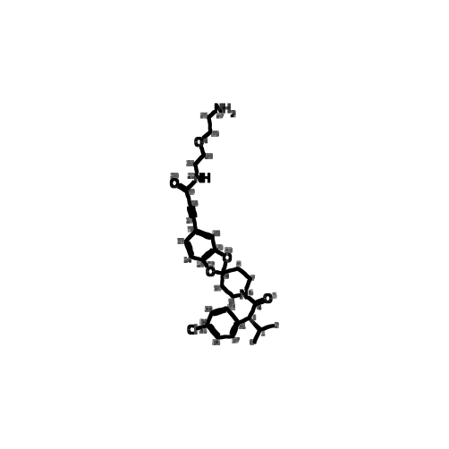 CC(C)[C@H](C(=O)N1CCC2(CC1)Oc1ccc(C#CC(=O)NCCOCCN)cc1O2)c1ccc(Cl)cc1